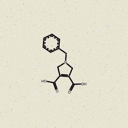 O=C(O)C1=C(C(=O)O)CN(Cc2ccccc2)C1